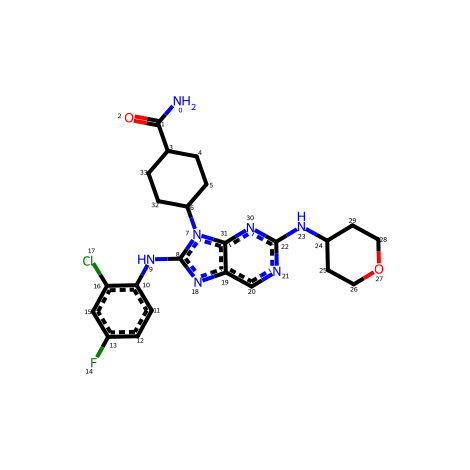 NC(=O)C1CCC(n2c(Nc3ccc(F)cc3Cl)nc3cnc(NC4CCOCC4)nc32)CC1